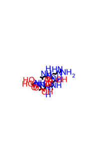 CC(C)[C@H](N)C(=O)N[C@@H](CCCNC(=N)N)C(=O)N[C@H](C(=O)N[C@@H](C)C(=O)N[C@H](C(=O)N[C@H](C(=O)N[C@@H](CO)C(=O)O)C(C)C)[C@@H](C)O)[C@@H](C)O